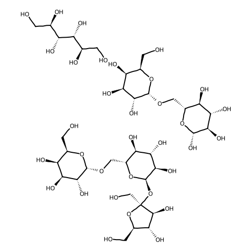 OC[C@@H](O)[C@@H](O)[C@H](O)[C@H](O)CO.OC[C@H]1O[C@H](OC[C@H]2O[C@@H](O)[C@H](O)[C@@H](O)[C@@H]2O)[C@H](O)[C@@H](O)[C@H]1O.OC[C@H]1O[C@H](OC[C@H]2O[C@H](O[C@]3(CO)O[C@H](CO)[C@@H](O)[C@@H]3O)[C@H](O)[C@@H](O)[C@@H]2O)[C@H](O)[C@@H](O)[C@H]1O